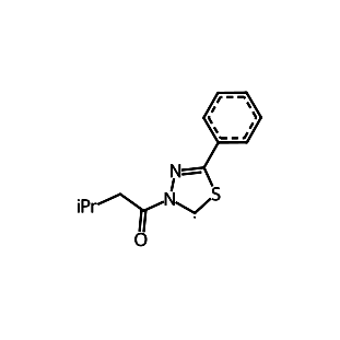 CC(C)CC(=O)N1[CH]SC(c2ccccc2)=N1